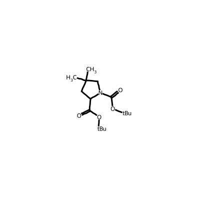 CC1(C)CC(C(=O)OC(C)(C)C)N(C(=O)OC(C)(C)C)C1